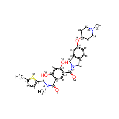 Cc1ccc(CN(C)C(=O)c2cc(C(=O)N3Cc4ccc(OC5CCN(C)CC5)cc4C3)c(O)cc2O)s1